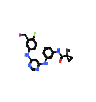 N#CC1(C(=O)Nc2cccc(Nc3cc(Nc4ccc(F)c(CI)c4)ncn3)c2)CC1